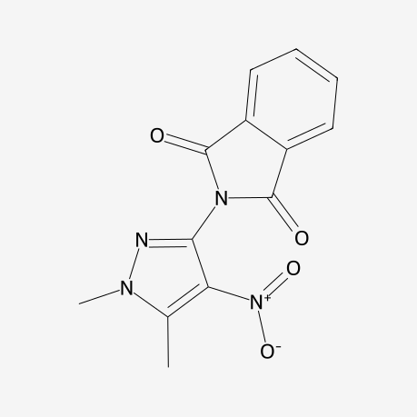 Cc1c([N+](=O)[O-])c(N2C(=O)c3ccccc3C2=O)nn1C